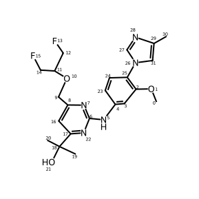 COc1cc(Nc2nc(COC(CF)CF)cc(C(C)(C)O)n2)ccc1-n1cnc(C)c1